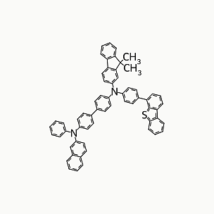 CC1(C)c2ccccc2-c2ccc(N(c3ccc(-c4ccc(N(c5ccccc5)c5ccc6ccccc6c5)cc4)cc3)c3ccc(-c4cccc5c4sc4ccccc45)cc3)cc21